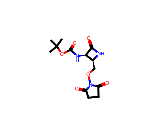 CC(C)(C)OC(=O)N[C@H]1C(=O)N[C@H]1CON1C(=O)CCC1=O